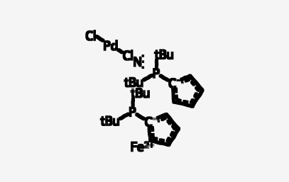 CC(C)(C)P([c-]1cccc1)C(C)(C)C.CC(C)(C)P([c-]1cccc1)C(C)(C)C.[Cl][Pd][Cl].[Fe+2].[N]